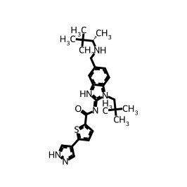 C[C@H](NCc1ccc2c(c1)[nH]/c(=N\C(=O)c1ccc(-c3cn[nH]c3)s1)n2CC(C)(C)C)C(C)(C)C